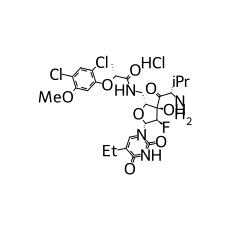 CCc1cn([C@@H]2O[C@H](CNC(=O)[C@@H](C)Oc3cc(OC)c(Cl)cc3Cl)[C@](O)(C(=O)[C@@H](N)C(C)C)[C@H]2F)c(=O)[nH]c1=O.Cl